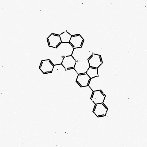 c1ccc(C2N=C(c3ccc(-c4ccc5ccccc5c4)c4oc5ccncc5c34)NC(c3cccc4oc5ccccc5c34)N2)cc1